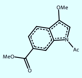 COC(=O)c1ccc2c(OC)cn(C(C)=O)c2c1